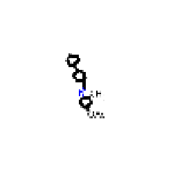 CC(=O)Oc1ccc(N=Cc2ccc(-c3ccccc3)cc2)c(C)c1